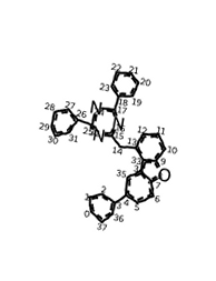 c1ccc(-c2ccc3oc4cccc(Cc5nc(-c6ccccc6)nc(-c6ccccc6)n5)c4c3c2)cc1